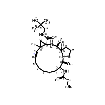 CC(C)(C)OC(=O)N[C@H]1CCCCC/C=C\[C@@H]2C[C@@]2(C(=O)NCC(O)(C(F)(F)F)C(F)(F)F)NC(=O)[C@@H]2CCCN2C1=O